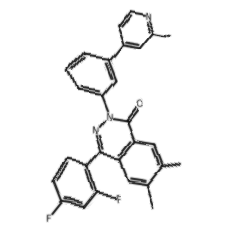 Cc1cc(-c2cccc(-n3nc(-c4ccc(F)cc4F)c4cc(C)c(C)cc4c3=O)c2)ccn1